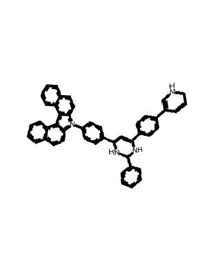 C1=CC(c2ccc(C3=CC(c4ccc(-n5c6ccc7ccccc7c6c6c7ccccc7ccc65)cc4)NC(c4ccccc4)N3)cc2)=CNC1